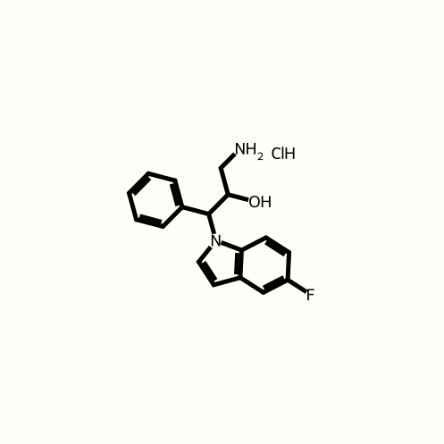 Cl.NCC(O)C(c1ccccc1)n1ccc2cc(F)ccc21